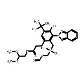 COC(CNC(=O)CCc1cc(C(C)(C)C)c(O)c(-n2nc3ccccc3n2)c1C[N+](C)(C)COC=O)OC